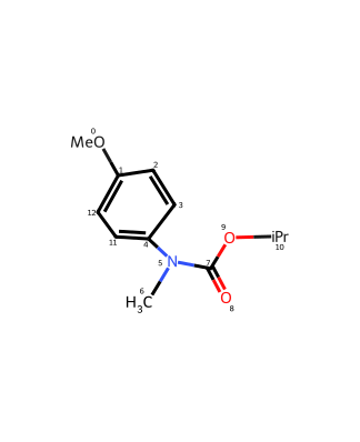 COc1ccc(N(C)C(=O)OC(C)C)cc1